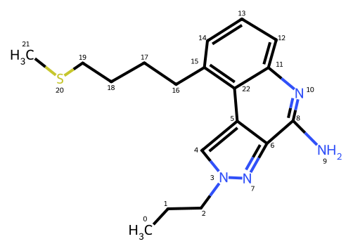 CCCn1cc2c(n1)c(N)nc1cccc(CCCCSC)c12